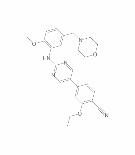 CCOc1cc(-c2cnc(Nc3cc(CN4CCOCC4)ccc3OC)nc2)ccc1C#N